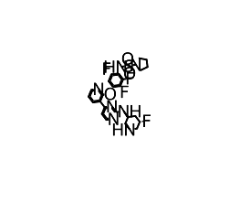 O=S(=O)(Nc1c(F)cc(Oc2ncccc2-c2ccnc(NC3CNC[C@@H](F)C3)n2)c(F)c1F)N1CCCC1